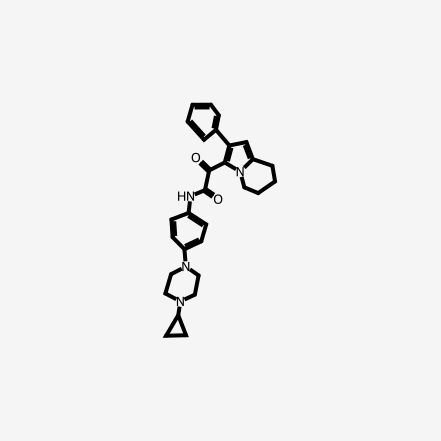 O=C(Nc1ccc(N2CCN(C3CC3)CC2)cc1)C(=O)c1c(-c2ccccc2)cc2n1CCCC2